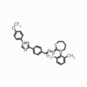 Cc1cccc(C)c1N1CCCCSC1=NN=Cc1ccc(-c2ncn(-c3ccc(OC(F)(F)F)cc3)n2)cc1